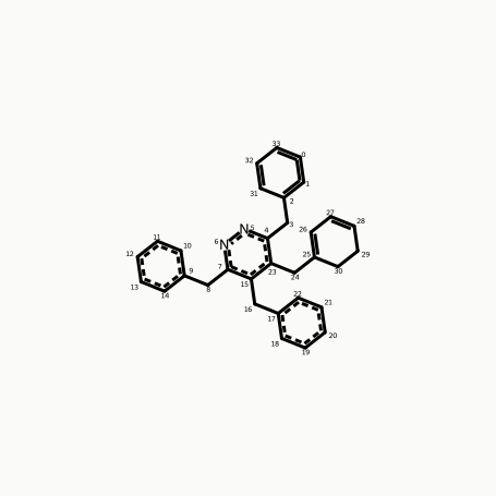 C1=C=C(Cc2nnc(Cc3ccccc3)c(Cc3ccccc3)c2CC2=CC=CCC2)C=CC=1